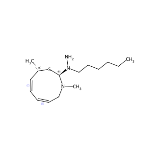 CCCCCCN(N)[C@@H]1S[C@@H](C)/C=C\C=C/CN1C